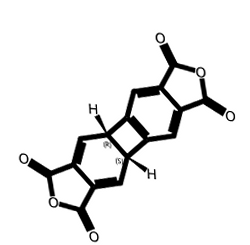 O=C1OC(=O)C2=C[C@H]3c4cc5c(cc4[C@H]3C=C12)C(=O)OC5=O